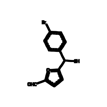 O=Cc1ccc(C(S)c2ccc(Br)cc2)o1